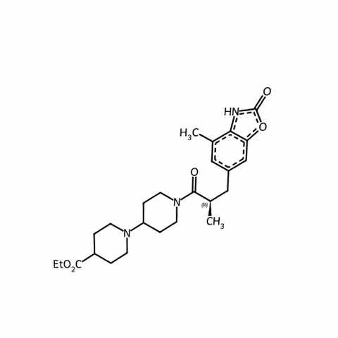 CCOC(=O)C1CCN(C2CCN(C(=O)[C@H](C)Cc3cc(C)c4[nH]c(=O)oc4c3)CC2)CC1